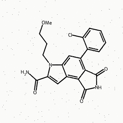 COCCCn1c(C(N)=O)cc2c3c(c(-c4ccccc4Cl)cc21)C(=O)NC3=O